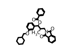 C[C@H](CN1C(=O)c2ccccc2C1=O)[C@H](OC(=O)c1ccccc1)c1cccc(OCC2CCCCC2)c1